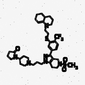 CS(=O)(=O)N1CCc2c(c(-c3ccc(C(F)(F)F)c(SCCN4CCCC5CCCC=C54)c3)nn2CCCN2CCC(N3CCCC3=O)CC2)C1